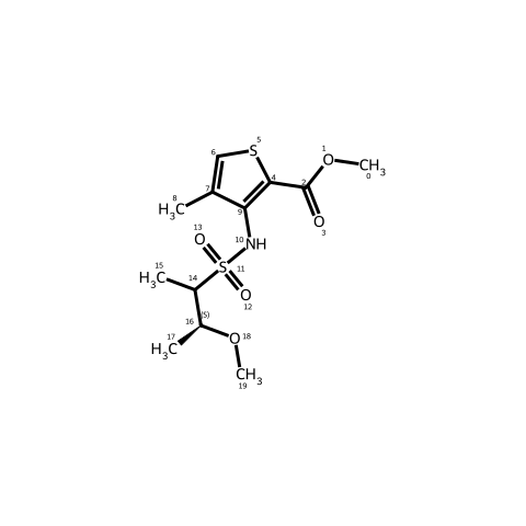 COC(=O)c1scc(C)c1NS(=O)(=O)C(C)[C@H](C)OC